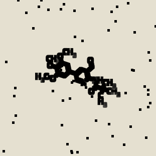 COc1cc(-c2cnc(NC(=O)C(C)(C)C)c(C=O)c2)cc(OC)c1OC